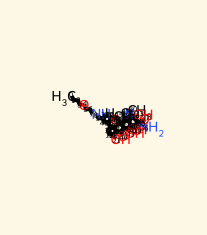 CCCCOCCCNCc1ccc(OC)c(-c2ccc(O)c3c2C[C@H]2C[C@H]4C(N(C)C)C(O)=C(C(N)=O)C(=O)[C@@]4(O)C(O)=C2C3=O)c1